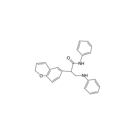 O=C(Nc1ccccc1)C(CNc1ccccc1)c1ccc2c(c1)C=CCO2